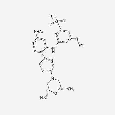 CC(=O)Nc1cc(Nc2cc(OC(C)C)cc(S(C)(=O)=O)n2)c(-c2ccc(N3C[C@@H](C)O[C@@H](C)C3)cn2)cn1